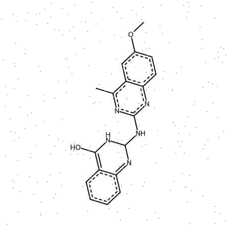 COc1ccc2nc(NC3N=c4ccccc4=C(O)N3)nc(C)c2c1